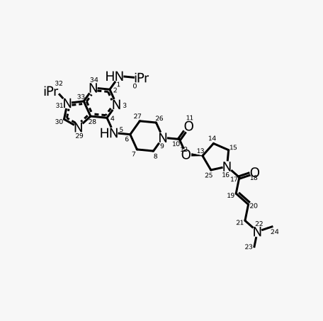 CC(C)Nc1nc(NC2CCN(C(=O)O[C@H]3CCN(C(=O)/C=C/CN(C)C)C3)CC2)c2ncn(C(C)C)c2n1